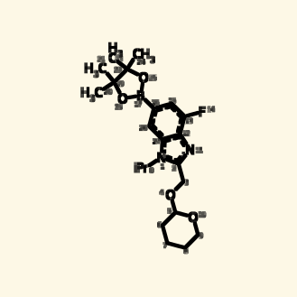 CC(C)n1c(COC2CCCCO2)nc2c(F)cc(B3OC(C)(C)C(C)(C)O3)cc21